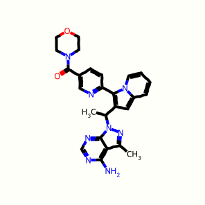 Cc1nn(C(C)c2cc3ccccn3c2-c2ccc(C(=O)N3CCOCC3)cn2)c2ncnc(N)c12